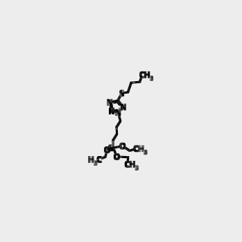 CCCCSc1nnn(CCCC[Si](OCC)(OCC)OCC)n1